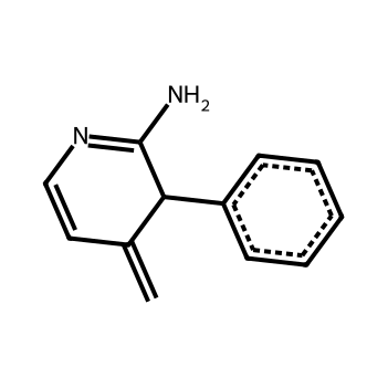 C=C1C=CN=C(N)C1c1ccccc1